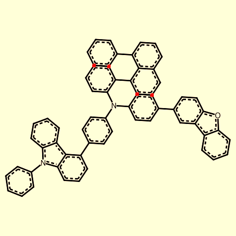 c1ccc(-c2cccc3cccc(-c4ccccc4N(c4ccc(-c5ccc6oc7ccccc7c6c5)cc4)c4ccc(-c5cccc6c5c5ccccc5n6-c5ccccc5)cc4)c23)cc1